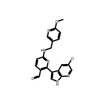 COc1ccc(CNc2ccc(C=O)c(-c3c[nH]c4ncc(Cl)cc34)n2)cn1